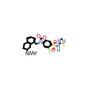 CNC1CCc2cccc(Cn3c(=O)oc4cc(S(=O)(=O)Nc5ncns5)c(F)cc43)c2C1